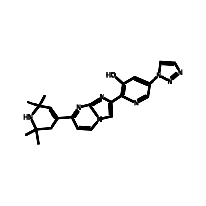 CC1(C)C=C(c2ccn3cc(-c4ncc(-n5ccnn5)cc4O)nc3n2)CC(C)(C)N1